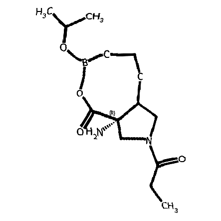 CCC(=O)N1CC2CCCB(OC(C)C)OC(=O)[C@]2(N)C1